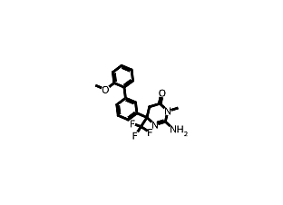 COc1ccccc1-c1cccc(C2(C(F)(F)F)CC(=O)N(C)C(N)=N2)c1